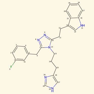 Fc1cccc(Cc2nnc(CCc3c[nH]c4ccccc34)n2CCCc2c[nH]cn2)c1